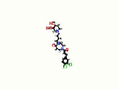 O=C(/C=C/c1ccc(Cl)c(Cl)c1)N1CCC(=O)N(CCCCN2CCC(O)C(O)C2)CC1